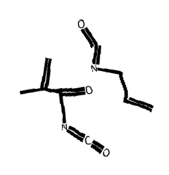 C=C(C)C(=O)N=C=O.C=CCN=C=O